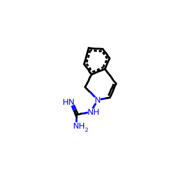 N=C(N)NN1C=Cc2ccccc2C1